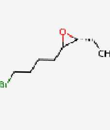 CC[C@H]1OC1CCCCBr